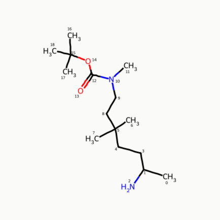 CC(N)CCC(C)(C)CCN(C)C(=O)OC(C)(C)C